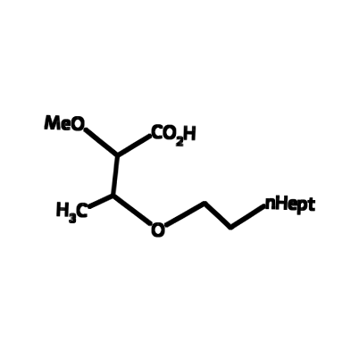 CCCCCCCCCOC(C)C(OC)C(=O)O